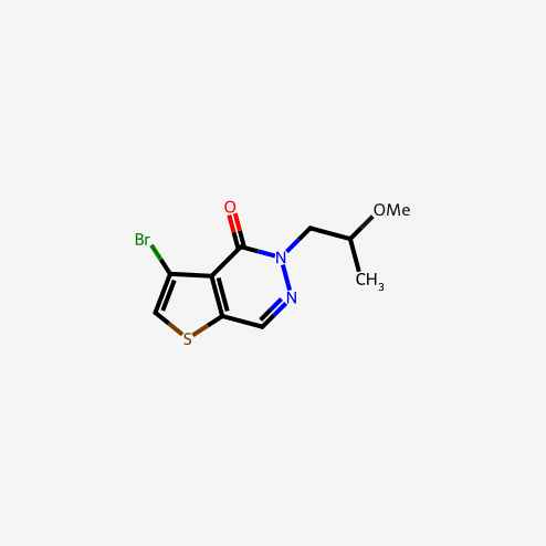 COC(C)Cn1ncc2scc(Br)c2c1=O